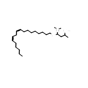 CCCCC/C=C\C/C=C\CCCCCCCCOC(CC(C)O)N(C)C